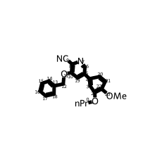 CCCOc1cc(-c2cnc(C#N)c(OCc3ccccc3)c2)ccc1OC